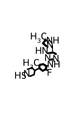 Cc1cc(Nc2nc(Nc3cc(C)c(C4CCN(S)CC4)cc3F)ncc2I)n[nH]1